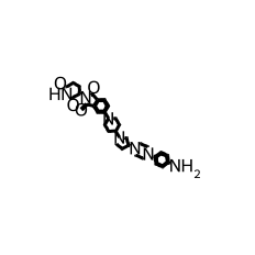 Nc1ccc(N2CCN(C3CCN(C4CCN(c5ccc6c(c5)C(=O)N(C5CCC(=O)NC5=O)C6=O)CC4)C3)CC2)cc1